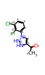 CC(=O)C1=CN(c2cccc(Cl)c2F)NN1